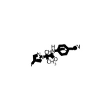 CC(C)(C(=O)NC12CCC(C#N)(CC1)CC2)n1cc(I)cn1